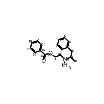 CC(Cc1ccccc1)N(CCOC(=O)c1ccccc1)C(F)(F)F